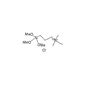 CO[Si](CCC[15N+](C)(C)C)(OC)OC.[Cl-]